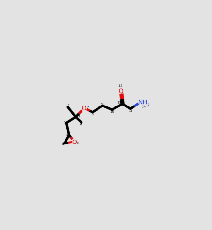 CC(C)(CC1CO1)OCCCC(=O)CN